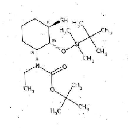 CCN(C(=O)OC(C)(C)C)[C@@H]1CCC[C@@H](S)[C@@H]1O[Si](C)(C)C(C)(C)C